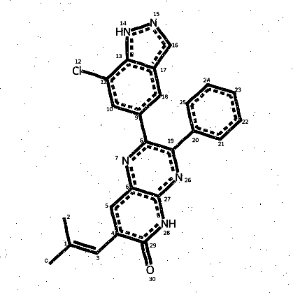 CC(C)=Cc1cc2nc(-c3cc(Cl)c4[nH]ncc4c3)c(-c3ccccc3)nc2[nH]c1=O